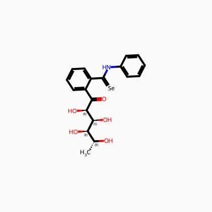 C[C@@H](O)[C@@H](O)[C@H](O)[C@@H](O)C(=O)c1ccccc1C(=[Se])Nc1ccccc1